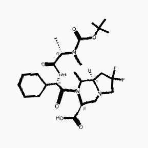 CC1[C@H]2CC(F)(F)CN2C[C@@H](C(=O)O)N1C(=O)[C@@H](NC(=O)[C@H](C)N(C)C(=O)OC(C)(C)C)C1CCCCC1